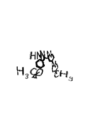 CC1CCN(c2ccnc(-c3n[nH]c4ccc(OC5(C)CC5)cc34)c2)CC1